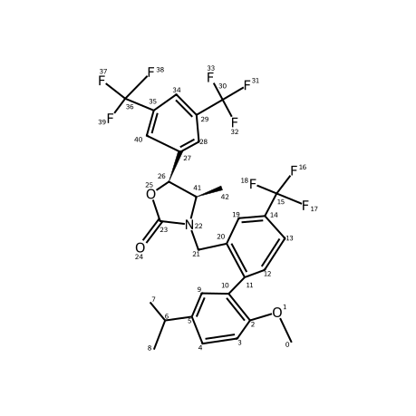 COc1ccc(C(C)C)cc1-c1ccc(C(F)(F)F)cc1CN1C(=O)O[C@@H](c2cc(C(F)(F)F)cc(C(F)(F)F)c2)[C@H]1C